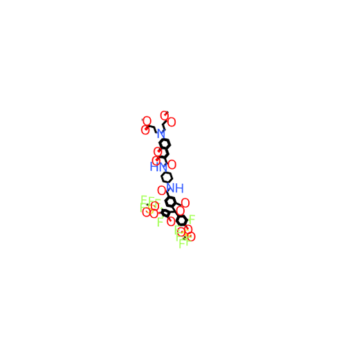 COC(=O)CCN(CCC(=O)OC)c1ccc2cc(C(=O)NC3CCC(NC(=O)c4ccc5c(c4)C(=O)OC54c5cc(F)c(OS(=O)(=O)C(F)(F)F)c(F)c5Oc5c4cc(F)c(OS(=O)(=O)C(F)(F)F)c5F)CC3)c(=O)oc2c1